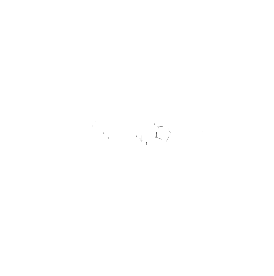 CCc1onc(C(=O)NCCCN(CC)CC)c1C